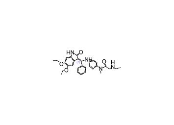 CCNCC(=O)N(C)c1ccc(N/C(=C2\C(=O)Nc3cc(OCC)c(OCC)cc32)c2ccccc2)cc1